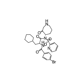 O=C(NC(CC1CCCCC1)C(=O)N([C@H]1CCCNCC1=O)S(=O)(=O)c1ccccn1)c1ccc(Br)cc1